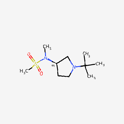 CN([C@@H]1CCN(C(C)(C)C)C1)S(C)(=O)=O